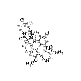 COc1cc2c(cc1-c1cncc(C(N)=O)c1)-c1c(c(C(=O)N3CCC(=O)NCC3(C)C)nn1-c1cc(Cl)cc(Cl)c1)CC2